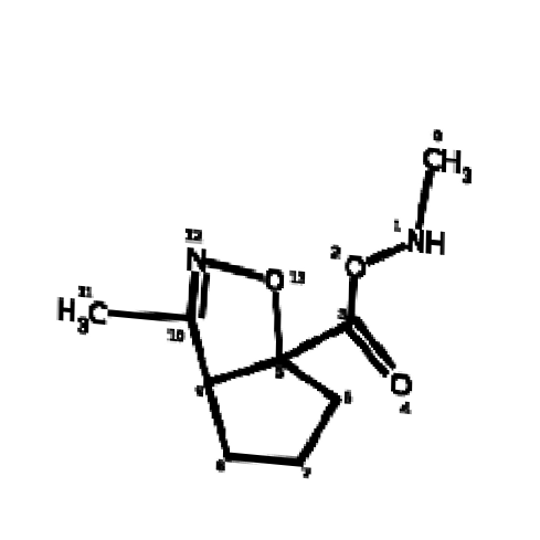 CNOC(=O)C12CCCC1C(C)=NO2